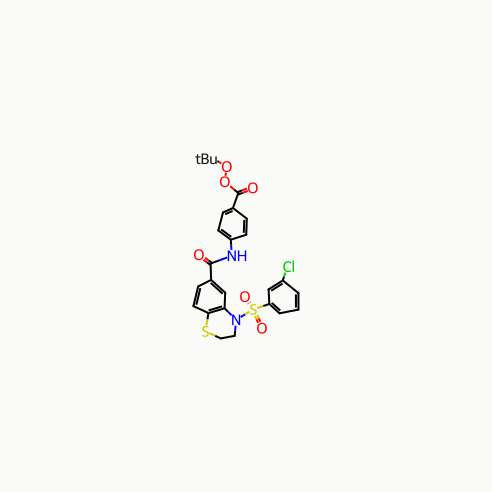 CC(C)(C)OOC(=O)c1ccc(NC(=O)c2ccc3c(c2)N(S(=O)(=O)c2cccc(Cl)c2)CCS3)cc1